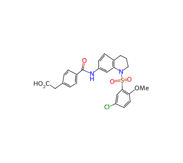 COc1ccc(Cl)cc1S(=O)(=O)N1CCCc2ccc(NC(=O)c3ccc(CC(=O)O)cc3)cc21